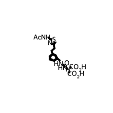 CC(=O)Nc1nc(CCc2cccc(CNC(=O)NN(C(=O)O)C(=O)O)c2)cs1